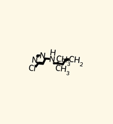 C=CCC(C)(C)CNc1cc(Cl)ncn1